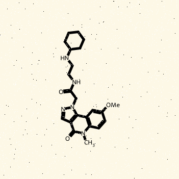 COc1ccc2c(c1)c1c(cnn1CC(=O)NCCNC1CCCCC1)c(=O)n2C